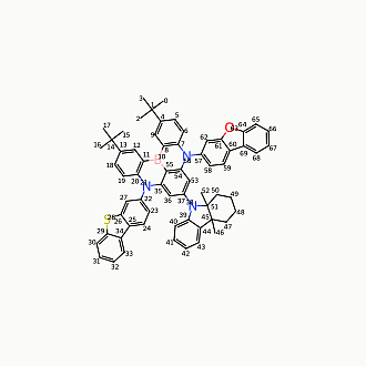 CC(C)(C)c1ccc2c(c1)B1c3cc(C(C)(C)C)ccc3N(c3ccc4c(c3)sc3ccccc34)c3cc(N4c5ccccc5C5(C)CCCCC45C)cc(c31)N2c1ccc2c(c1)oc1ccccc12